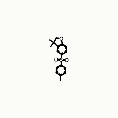 Cc1ccc(S(=O)(=O)c2ccc3c(c2)C(C)(C)CO3)cc1